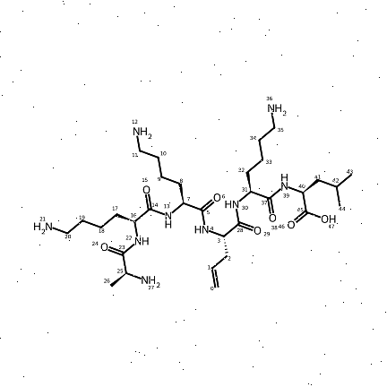 C=CC[C@H](NC(=O)[C@H](CCCCN)NC(=O)[C@H](CCCCN)NC(=O)[C@H](C)N)C(=O)N[C@@H](CCCCN)C(=O)N[C@@H](CC(C)C)C(=O)O